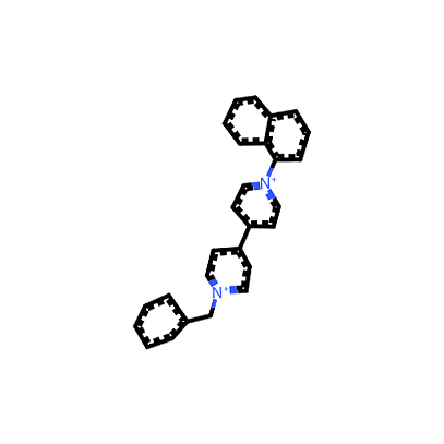 c1ccc(C[n+]2ccc(-c3cc[n+](-c4cccc5ccccc45)cc3)cc2)cc1